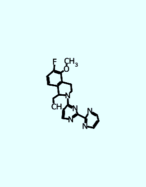 CCC1c2ccc(F)c(OC)c2CCN1c1ccnc(-c2ncccn2)n1